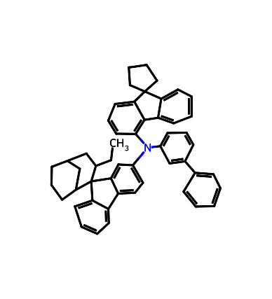 CCC1CC2CCCC(C2)C12c1ccccc1-c1ccc(N(c3cccc(-c4ccccc4)c3)c3cccc4c3-c3ccccc3C43CCCC3)cc12